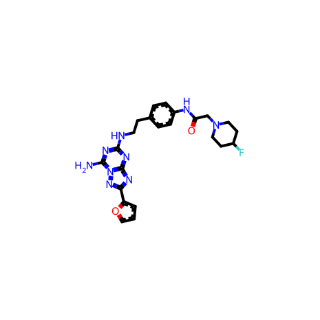 Nc1nc(NCCc2ccc(NC(=O)CN3CCC(F)CC3)cc2)nc2nc(-c3ccco3)nn12